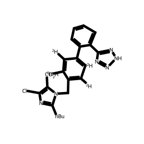 [2H]c1c([2H])c(-c2ccccc2-c2nn[nH]n2)c([2H])c([2H])c1Cn1c(CCCC)nc(Cl)c1C(=O)O